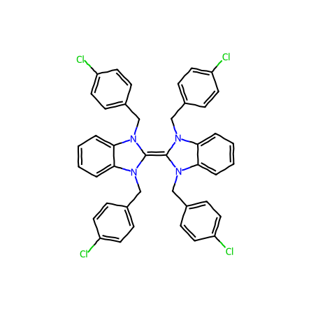 Clc1ccc(CN2C(=C3N(Cc4ccc(Cl)cc4)c4ccccc4N3Cc3ccc(Cl)cc3)N(Cc3ccc(Cl)cc3)c3ccccc32)cc1